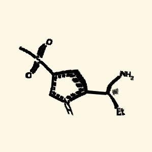 CC[C@H](N)c1cc(S(C)(=O)=O)c[nH]1